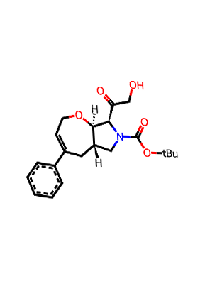 CC(C)(C)OC(=O)N1C[C@@H]2CC(c3ccccc3)=CCO[C@H]2[C@H]1C(=O)CO